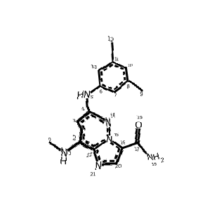 CNc1cc(Nc2cc(C)cc(C)c2)nn2c(C(N)=O)cnc12